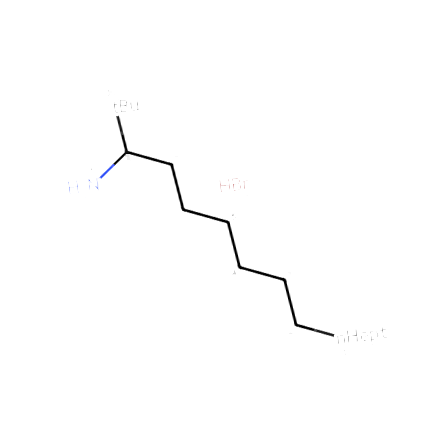 Br.CCCCCCCCCCCCCC(N)C(C)(C)C